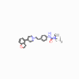 CN(C)C(=O)NC1CCC(CCN2CCC(c3cccc4c3CCO4)CC2)CC1